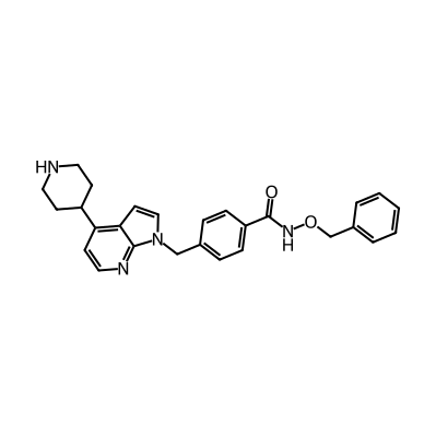 O=C(NOCc1ccccc1)c1ccc(Cn2ccc3c(C4CCNCC4)ccnc32)cc1